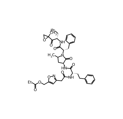 CCC(=O)OCc1cc(CC(=O)N[C@@H](CCc2ccccc2)C(=O)N[C@H]2CC(C)N([C@@H](Cc3ccccc3)C(=O)N[C@@H](CC(C)C)C(=O)C3(C)CO3)C2=O)no1